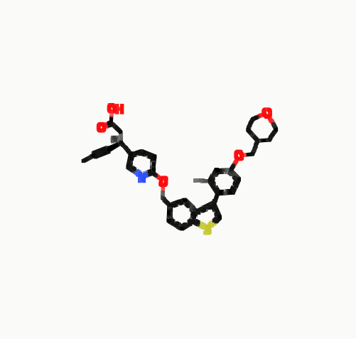 CC#C[C@@H](CC(=O)O)c1ccc(OCc2ccc3scc(-c4ccc(OCC5CCOCC5)cc4C)c3c2)nc1